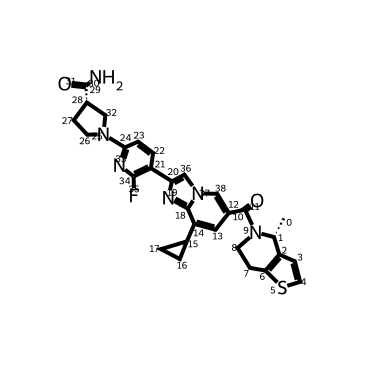 C[C@@H]1c2ccsc2CCN1C(=O)c1cc(C2CC2)c2nc(-c3ccc(N4CC[C@H](C(N)=O)C4)nc3F)cn2c1